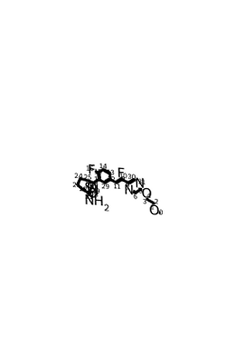 COCCOc1cnc(/C(F)=C/c2ccc(F)c(C3N=C(N)C4CCC3S4(=O)=O)c2)cn1